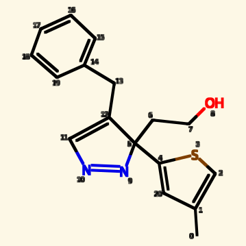 Cc1csc(C2(CCO)N=NC=C2Cc2ccccc2)c1